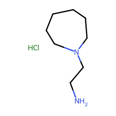 Cl.NCCN1CCCCCC1